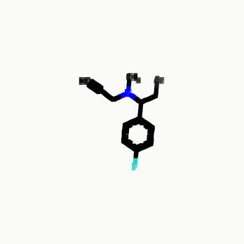 C#CCN(C)C(CC(C)=O)c1ccc(F)cc1